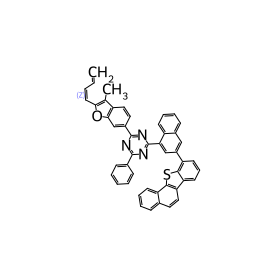 C=C/C=C\c1oc2cc(-c3nc(-c4ccccc4)nc(-c4cc(-c5cccc6c5sc5c7ccccc7ccc65)cc5ccccc45)n3)ccc2c1C